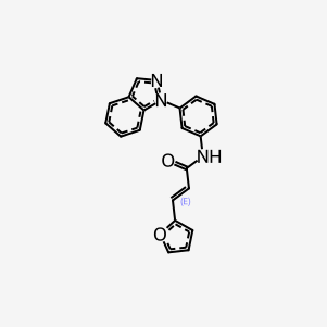 O=C(/C=C/c1ccco1)Nc1cccc(-n2ncc3ccccc32)c1